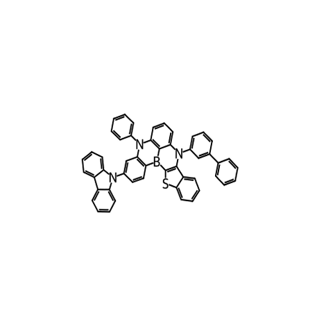 c1ccc(-c2cccc(N3c4cccc5c4B(c4ccc(-n6c7ccccc7c7ccccc76)cc4N5c4ccccc4)c4sc5ccccc5c43)c2)cc1